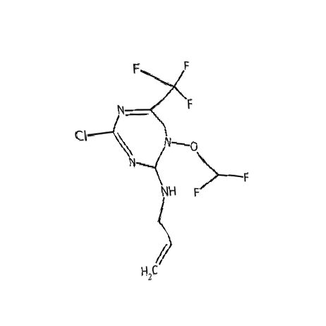 C=CCNC1N=C(Cl)N=C(C(F)(F)F)N1OC(F)F